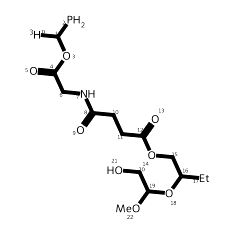 [3H]C(P)OC(=O)CNC(=O)CCC(=O)OCC(CC)OC(CO)OC